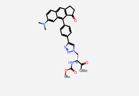 COC(=O)[C@@H](Cn1cc(-c2ccc(-c3c4c(cc5ccc(N(C)C)cc35)CCC4=O)cc2)nn1)NC(=O)OC(C)(C)C